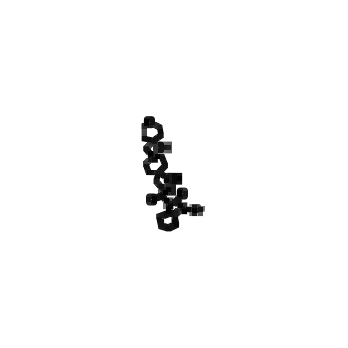 CC(C)n1c(=O)n(C(=O)NCC2(O)CCN(CC3(O)CCOCC3)CC2)c2ccccc21